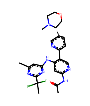 CC(=O)Nc1cc(Nc2cc(C)nc(C(C)(F)F)n2)c(-c2ccc([C@H]3COCCN3C)cn2)cn1